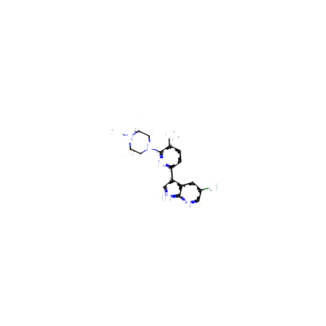 CC(=O)N1[C@H](C)CN(c2nc(-c3c[nH]c4ncc(Cl)cc34)ccc2C#N)C[C@@H]1C